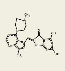 CN1CCN(c2ccnc3c2c(C=C2Oc4cc(O)cc(O)c4C2=O)cn3C)CC1